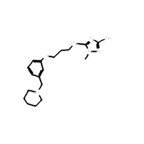 Cn1nc([N+](=O)[O-])nc1NCCCOc1cccc(CN2CCCCC2)c1